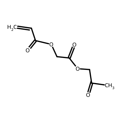 C=CC(=O)OCC(=O)OCC(C)=O